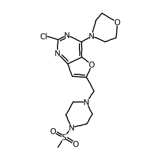 CS(=O)(=O)N1CCN(Cc2cc3nc(Cl)nc(N4CCOCC4)c3o2)CC1